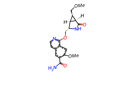 COC[C@H]1[C@H]2C(=O)N[C@H](COc3nccc4cc(C(N)=O)c(OC)cc34)[C@@H]12